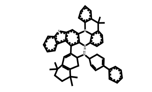 CC1(C)CCC(C)(C)C2=C1C=C(c1c3c(cc4sc5ccccc5c14)N1c4ccccc4C(C)(C)c4cccc(c41)B3)C(NC1C=CC(c3ccccc3)=CC1)C2